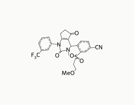 COCCS(=O)(=O)c1cc(C#N)ccc1C1C2=C(CCC2=O)N(c2cccc(C(F)(F)F)c2)C(=O)N1C